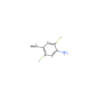 COc1cc(F)c(N)cc1F